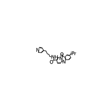 CC(C)c1ccc2nc3ccc(C(=O)NCCCCc4ccncc4)cn3c(=O)c2c1